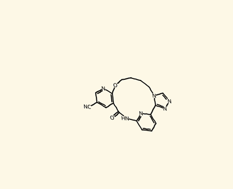 N#Cc1cnc2c(c1)C(=O)Nc1cccc(n1)-c1nncn1CCCCO2